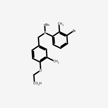 CCCCN(Cc1ccc(OCC(=O)O)c(C)c1)c1cccc(Br)c1C